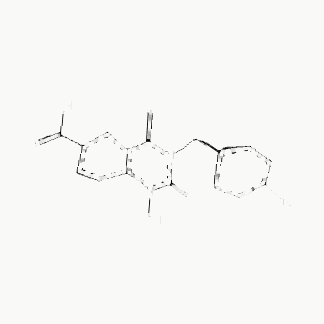 Cn1c(=O)n(Cc2ccc(Br)cc2)c(=O)c2cc(C(=O)O)ccc21